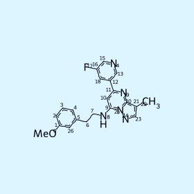 COc1cccc(CCNc2cc(-c3cncc(F)c3)nc3c(C)cnn23)c1